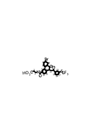 O=C(O)CCNC(=O)c1ccc(C(CC(=O)c2cccc(SC(F)(F)F)c2)C(=O)c2cccc(Br)c2)cc1